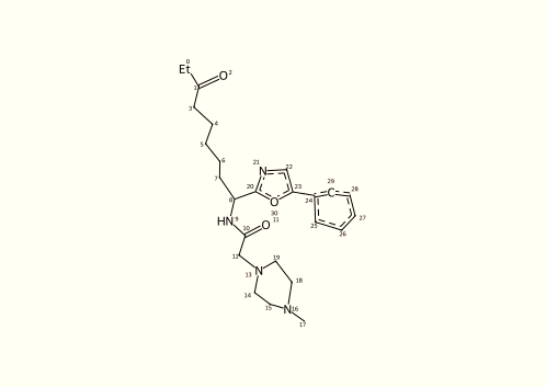 CCC(=O)CCCCCC(NC(=O)CN1CCN(C)CC1)c1ncc(-c2ccccc2)o1